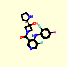 O=C(c1cncc(F)c1Nc1ccc(I)cc1F)N1CC(O)([C@@H]2CCCN2)C1